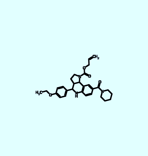 C=CCOC(=O)N1CCC2C(c3ccc(OCC)cc3)Nc3ccc(C(=O)N4CCCCC4)cc3C21